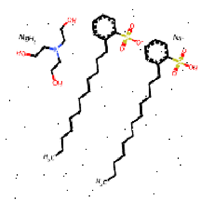 CCCCCCCCCCCCc1ccccc1S(=O)(=O)O.CCCCCCCCCCCCc1ccccc1S(=O)(=O)[O-].OCCN(CCO)CCO.[MgH2].[Na+]